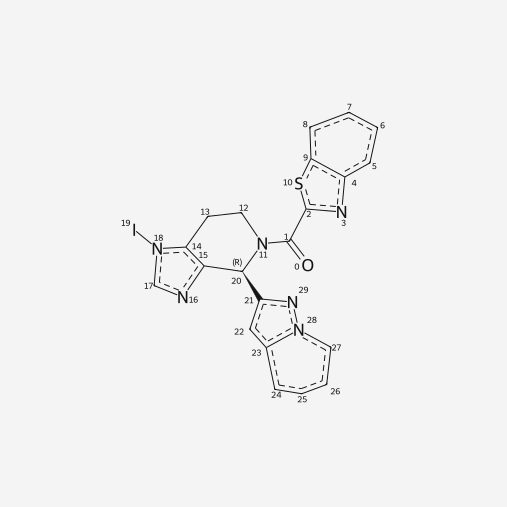 O=C(c1nc2ccccc2s1)N1CCc2c(ncn2I)[C@@H]1c1cc2ccccn2n1